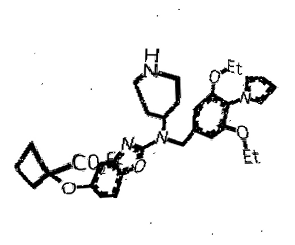 CCOC(=O)C1(Oc2ccc3oc(N(Cc4cc(OCC)c(-n5cccc5)c(OCC)c4)C4CCNCC4)nc3c2)CCC1